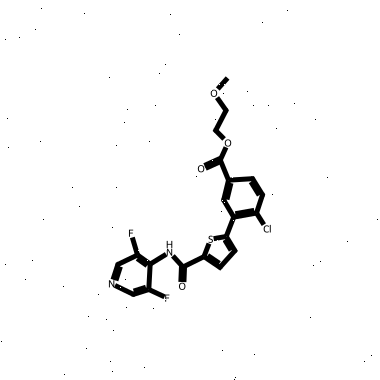 COCCOC(=O)c1ccc(Cl)c(-c2ccc(C(=O)Nc3c(F)cncc3F)s2)c1